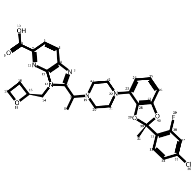 CC(c1nc2ccc(C(=O)O)nc2n1C[C@@H]1CCO1)N1CCN(c2cccc3c2O[C@@](C)(c2ccc(Cl)cc2F)O3)CC1